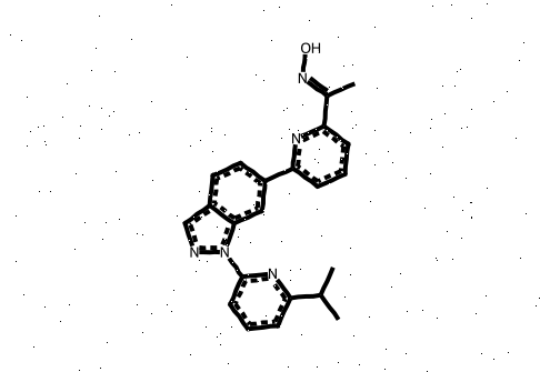 CC(=NO)c1cccc(-c2ccc3cnn(-c4cccc(C(C)C)n4)c3c2)n1